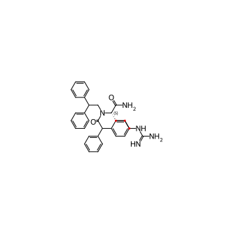 N=C(N)NCCC[C@@H](C(N)=O)N(CC(c1ccccc1)c1ccccc1)C(=O)C(c1ccccc1)c1ccccc1